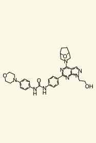 O=C(Nc1ccc(-c2nc(N3CC4CCC(C3)O4)c3cnn(CCO)c3n2)cc1)Nc1ccc(N2CCOCC2)cc1